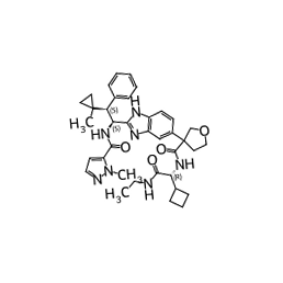 CCNC(=O)[C@H](NC(=O)C1(c2ccc3[nH]c([C@@H](NC(=O)c4ccnn4C)[C@H](c4ccccc4)C4(C)CC4)nc3c2)CCOC1)C1CCC1